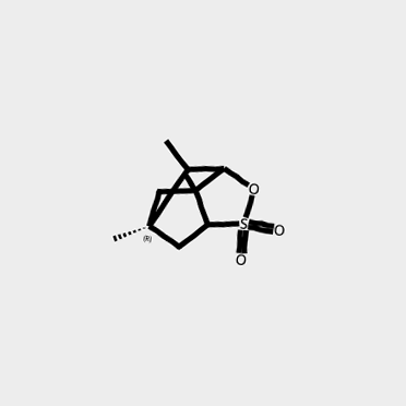 CC1C2OS(=O)(=O)C3C[C@@]1(C)CC23C